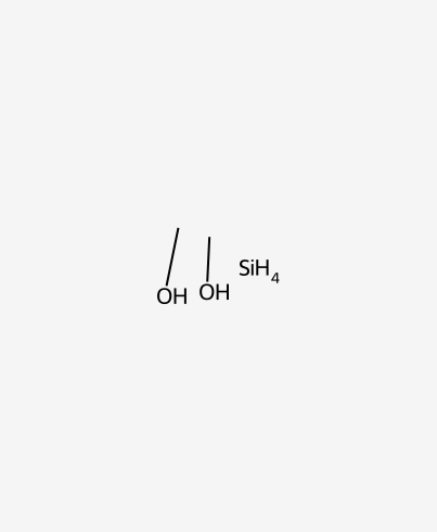 CO.CO.[SiH4]